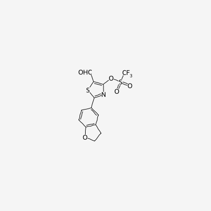 O=Cc1sc(-c2ccc3c(c2)CCO3)nc1OS(=O)(=O)C(F)(F)F